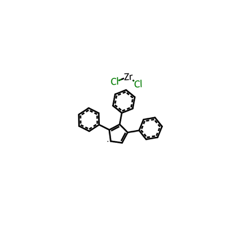 [CH]1C=C(c2ccccc2)C(c2ccccc2)=C1c1ccccc1.[Cl][Zr][Cl]